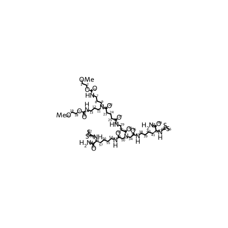 COCCOC(=O)NCCCN(CCCNC(=O)OCCOC)C(=O)CCCC(=O)NCCC(=O)N(CC(=O)NCCCC[C@H](NC1SS1)C(N)=O)CC(=O)NCCCC[C@H](NC1SS1)C(N)=O